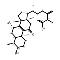 C=C(CC[C@@H](C)[C@H]1CC[C@H]2C3=C(C(=O)C[C@]12C)[C@@]1(C)CC[C@@H](O)[C@@H](C)C1C[C@@H]3O)C(C)C(=O)O